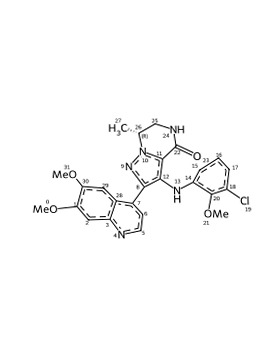 COc1cc2nccc(-c3nn4c(c3Nc3cccc(Cl)c3OC)C(=O)NC[C@H]4C)c2cc1OC